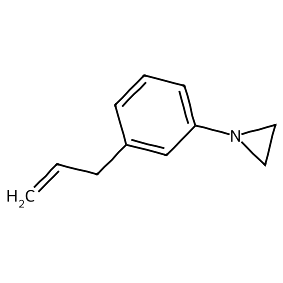 C=CCc1cccc(N2CC2)c1